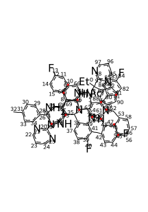 CCC(Nc1c(N2C(NC(C)=O)=C(c3ccc(F)cc3)[C]=C(NC(c3ncccn3)C(N)c3ccc(C)cc3)C2c2ccc(F)c(-c3ccc(F)cc3N(C)CCc3ccccc3)c2N(C)CCc2ccccc2-c2ccncc2)ccnc1-c1ccc(F)cc1)(c1ccccc1)c1ncccn1